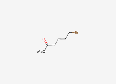 COC(=O)C/C=C/CBr